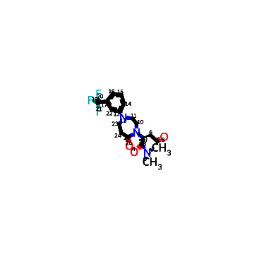 CN(C)C(=O)[C@H](CC=O)N1CCN(c2cccc(C(F)(F)F)c2)CCC1=O